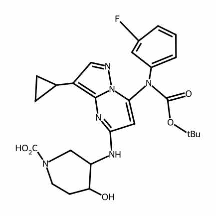 CC(C)(C)OC(=O)N(c1cccc(F)c1)c1cc(NC2CN(C(=O)O)CCC2O)nc2c(C3CC3)cnn12